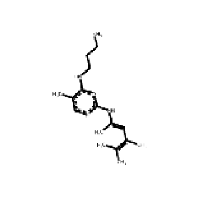 CC(C)=C(C)/C=C(\C)Nc1ncc(C)c(NCCCN)n1